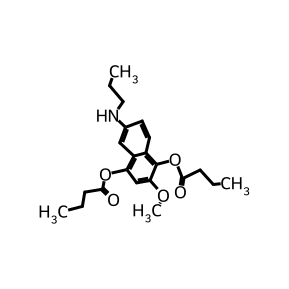 CCCNc1ccc2c(OC(=O)CCC)c(OC)cc(OC(=O)CCC)c2c1